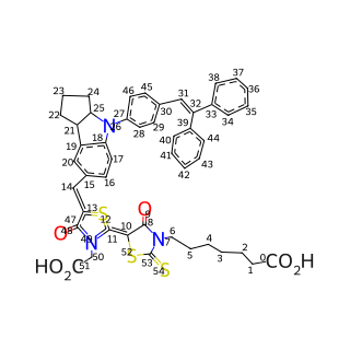 O=C(O)CCCCCCN1C(=O)/C(=c2\s/c(=C\c3ccc4c(c3)C3CCCC3N4c3ccc(C=C(c4ccccc4)c4ccccc4)cc3)c(=O)n2CC(=O)O)SC1=S